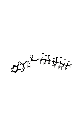 O=C(CCC(F)(F)C(F)(F)C(F)(F)C(F)(F)C(F)(F)C(F)(F)C(F)(F)C(F)(F)F)NCC1COc2cscc2O1